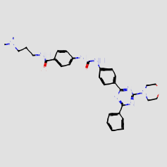 CN(C)CCCNC(=O)c1ccc(NC(=O)Nc2ccc(-c3nc(-c4ccccc4)nc(N4CCOCC4)n3)cc2)cc1